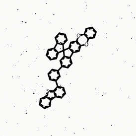 c1cc(-c2ccc3c(c2)C2(c4ccccc4-c4ccccc42)c2cc4c(cc2-3)Oc2ccccc2O4)cc(-c2cccc3c2sc2ccccc23)c1